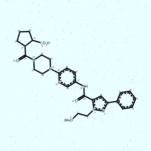 COCCn1nc(-c2ccccc2)cc1C(=O)Nc1ccc(N2CCN(C(=O)C3CCCC3C(=O)O)CC2)nc1